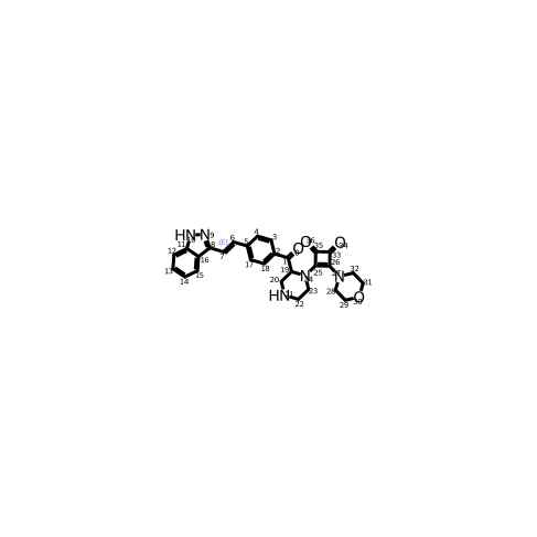 O=C(c1ccc(/C=C/c2n[nH]c3ccccc23)cc1)C1CNCCN1c1c(N2CCOCC2)c(=O)c1=O